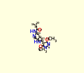 COc1ncnc(OC)c1-c1cc2cc(NC(=O)C3CC3)ncc2[nH]1